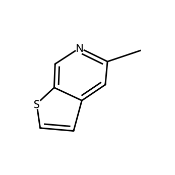 Cc1cc2ccsc2cn1